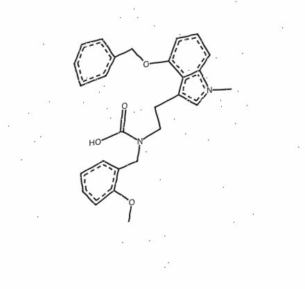 COc1ccccc1CN(CCc1cn(C)c2cccc(OCc3ccccc3)c12)C(=O)O